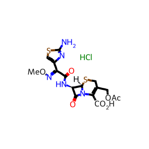 CON=C(C(=O)N[C@@H]1C(=O)N2C(C(=O)O)=C(COC(C)=O)CS[C@H]12)c1csc(N)n1.Cl